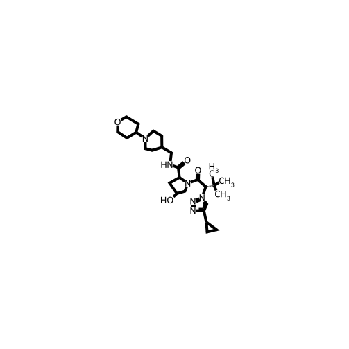 CC(C)(C)[C@@H](C(=O)N1CC(O)CC1C(=O)NCC1CCN(C2CCOCC2)CC1)n1cc(C2CC2)nn1